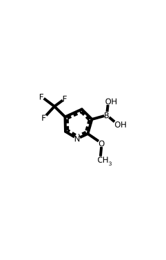 COc1ncc(C(F)(F)F)cc1B(O)O